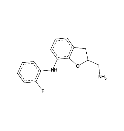 NCC1Cc2cccc(Nc3ccccc3F)c2O1